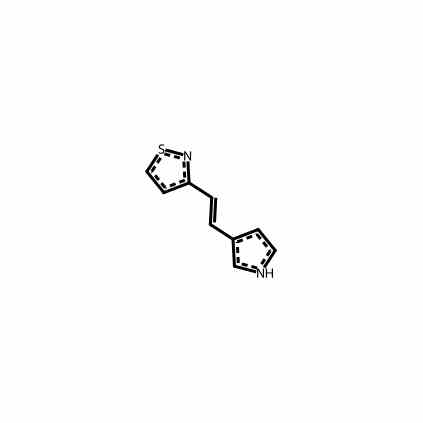 C(=C\c1ccsn1)/c1cc[nH]c1